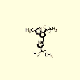 C=C(OC)c1ccnc(Cc2cc(C(=O)OC)c3ncc(C)cc3c2)c1